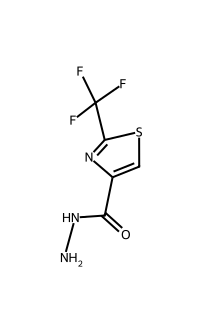 NNC(=O)c1csc(C(F)(F)F)n1